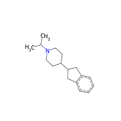 CC(C)N1CCC(C2Cc3ccccc3C2)CC1